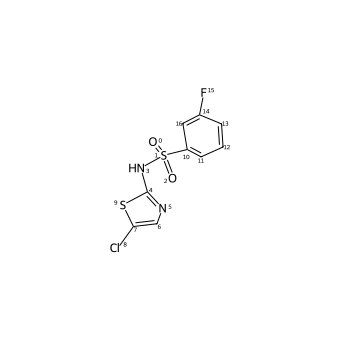 O=S(=O)(Nc1ncc(Cl)s1)c1cccc(F)c1